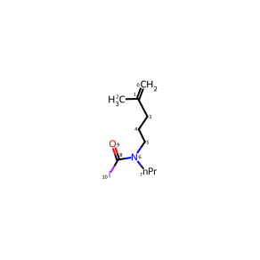 C=C(C)CCCN(CCC)C(=O)I